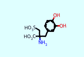 NC(Cc1ccc(O)c(O)c1)(CS(=O)(=O)O)C(=O)O